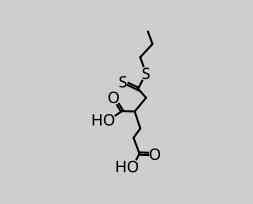 CCCSC(=S)CC(CCC(=O)O)C(=O)O